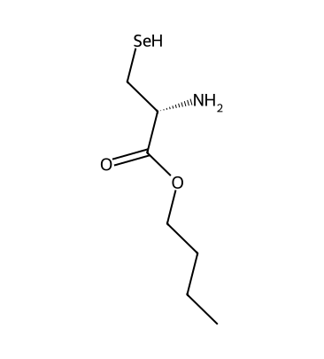 CCCCOC(=O)[C@@H](N)C[SeH]